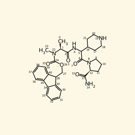 C[C@@H](C(=O)NC(C(=O)N1CCC[C@H]1C(N)=O)C1CCNCC1)N(C)C(=O)OCC1c2ccccc2-c2ccccc21